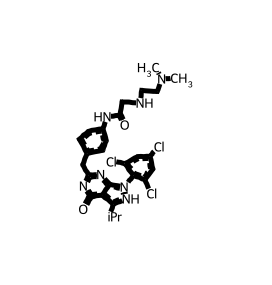 CC(C)c1[nH]n(-c2c(Cl)cc(Cl)cc2Cl)c2nc(Cc3ccc(NC(=O)CNCCN(C)C)cc3)nc(=O)c1-2